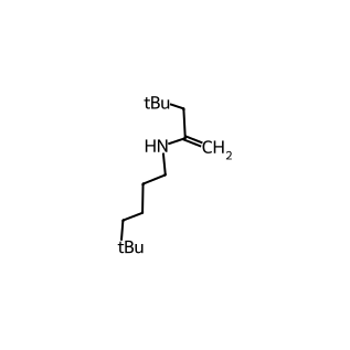 C=C(CC(C)(C)C)NCCCCC(C)(C)C